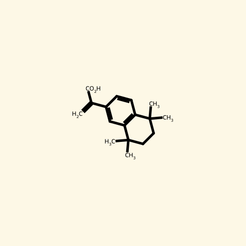 C=C(C(=O)O)c1ccc2c(c1)C(C)(C)CCC2(C)C